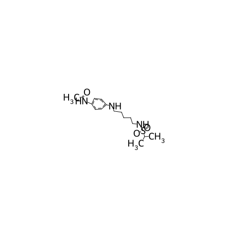 CC(=O)Nc1ccc(NCCCCCNS(=O)(=O)C(C)C)cc1